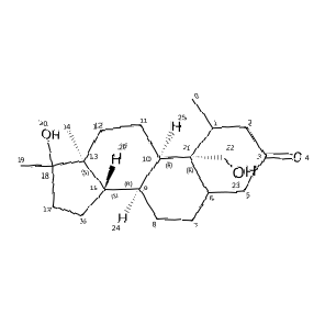 CC1CC(=O)CC2CC[C@@H]3[C@@H](CC[C@@]4(C)[C@H]3CCC4(C)O)[C@@]12CO